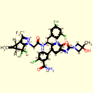 C=C1[C@@H]2c3c(C(F)(F)F)nn(CC(=O)N[C@@H](Cc4cc(F)cc(F)c4)c4nc5oc(N6CC(C)(O)C6)nc5cc4-c4ccc(F)c(C(N)=O)c4)c3C(F)(F)[C@H]12